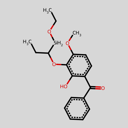 CCO[SiH2]C(CC)Oc1c(OC)ccc(C(=O)c2ccccc2)c1O